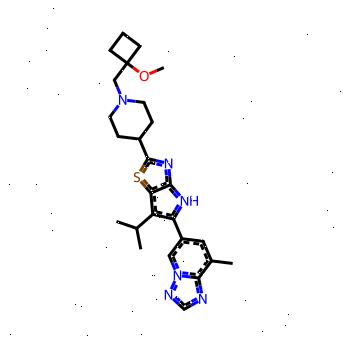 COC1(CN2CCC(c3nc4[nH]c(-c5cc(C)c6ncnn6c5)c(C(C)C)c4s3)CC2)CCC1